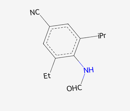 CCc1cc(C#N)cc(C(C)C)c1NC=O